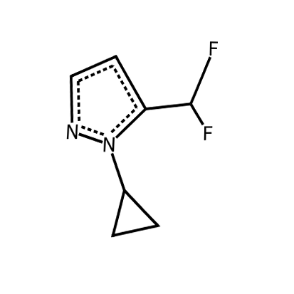 FC(F)c1ccnn1C1CC1